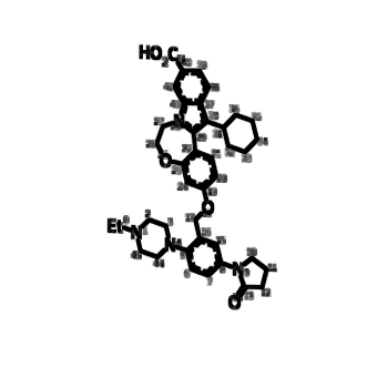 CCN1CCN(c2ccc(N3CCCC3=O)cc2COc2ccc3c(c2)OCCn2c-3c(C3CCCCC3)c3ccc(C(=O)O)cc32)CC1